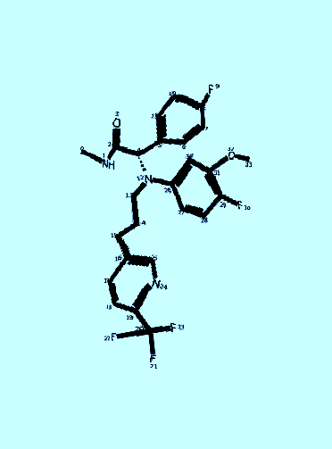 CNC(=O)[C@H](c1ccc(F)cc1)N(CCCc1ccc(C(F)(F)F)nc1)c1ccc(F)c(OC)c1